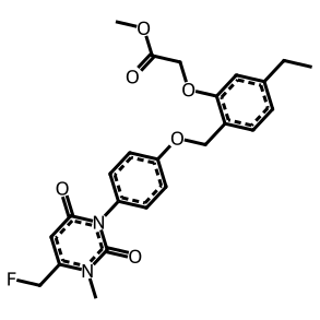 CCc1ccc(COc2ccc(-n3c(=O)cc(CF)n(C)c3=O)cc2)c(OCC(=O)OC)c1